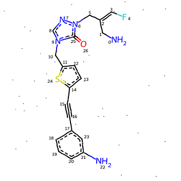 NC/C(=C\F)Cn1ncn(Cc2ccc(C#Cc3cccc(N)c3)s2)c1=O